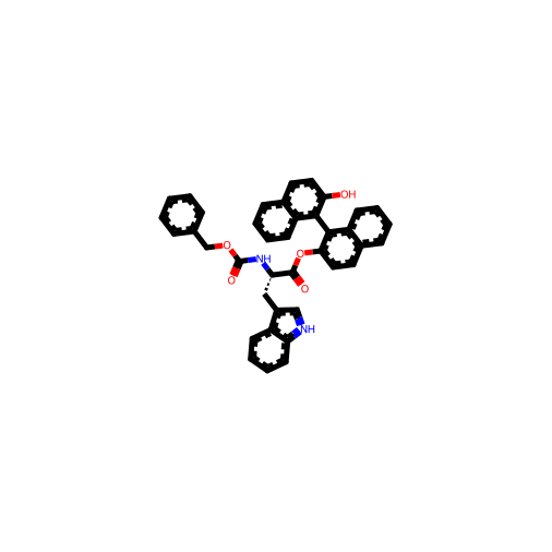 O=C(N[C@@H](Cc1c[nH]c2ccccc12)C(=O)Oc1ccc2ccccc2c1-c1c(O)ccc2ccccc12)OCc1ccccc1